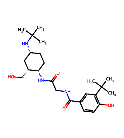 CC(C)(C)N[C@@H]1CC[C@H](NC(=O)CNC(=O)c2ccc(O)c(C(C)(C)C)c2)[C@H](CO)C1